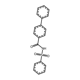 O=C(NS(=O)(=O)c1ccccc1)c1ccc(-c2ccccc2)cc1